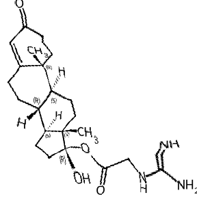 C[C@]12CCC(=O)C=C1CC[C@@H]1[C@@H]2CC[C@@]2(C)[C@H]1CC[C@@]2(O)OC(=O)CNC(=N)N